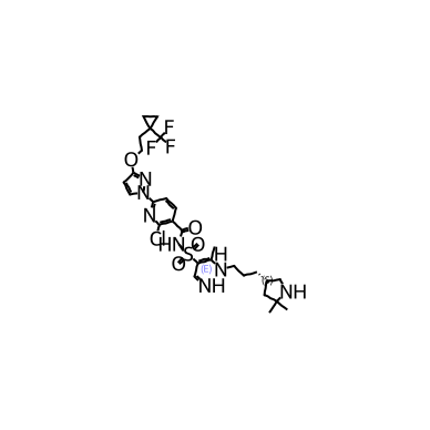 C/C(NCCC[C@@H]1CNC(C)(C)C1)=C(/C=N)S(=O)(=O)NC(=O)c1ccc(-n2ccc(OCCC3(C(F)(F)F)CC3)n2)nc1Cl